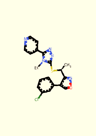 CCn1c(S[C@@H](C)c2nocc2-c2cccc(Cl)c2)nnc1-c1ccncc1